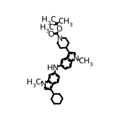 Cn1cc(C2CCCCC2)c2ccc(Nc3ccc4c(c3)c(C3CCN(C(=O)OC(C)(C)C)CC3)cn4C)cc21